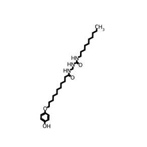 CCCCCCCCCCNC(=O)NCNC(=O)CCCCCCCCCCOc1ccc(O)cc1